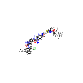 CC(=O)N[C@@H](CC(=O)O)C(=O)N[C@@H](CSSCCC(=O)Nc1ccc2[nH]c(C(=O)Nc3ccc4[nH]c(C(=O)N5CC(CCl)c6c5cc(OC(C)=O)c5ccccc65)cc4c3)cc2c1)C(=O)O